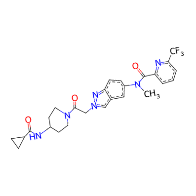 CN(C(=O)c1cccc(C(F)(F)F)n1)c1ccc2nn(CC(=O)N3CCC(NC(=O)C4CC4)CC3)cc2c1